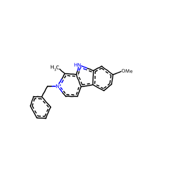 COc1ccc2c(c1)[nH]c1c(C)[n+](Cc3ccccc3)ccc12